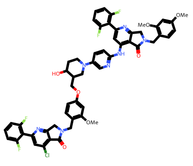 COc1ccc(CN2Cc3nc(-c4c(F)cccc4F)cc(Nc4ccc(N5CCC(O)C(COc6ccc(CN7Cc8nc(-c9c(F)cccc9F)cc(Cl)c8C7=O)c(OC)c6)C5)cn4)c3C2=O)c(OC)c1